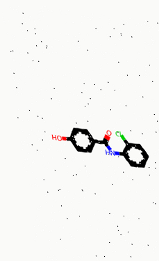 O=C(Nc1ccccc1Cl)c1ccc(O)cc1